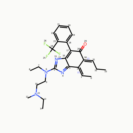 C/C=C1/C2=NC(N(CC)CCN(C)CC)=NC2=C(c2ccccc2C(F)(F)F)C(=O)/C1=C/CC